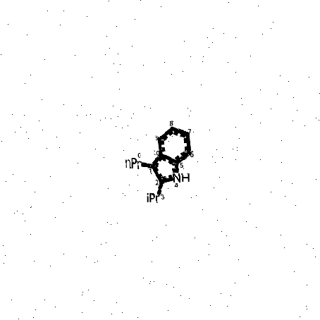 CCCc1c(C(C)C)[nH]c2ccccc12